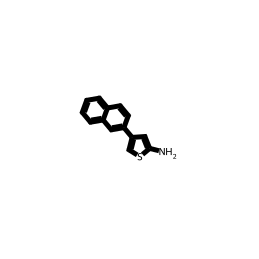 Nc1cc(-c2ccc3ccccc3c2)cs1